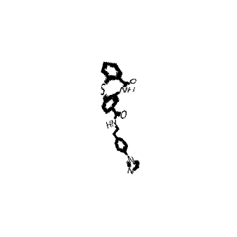 O=C(NCCc1ccc(-n2ccnc2)cc1)c1ccc2c(c1)NC(=O)c1ccccc1S2